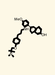 COc1ccc([C@@H]2CCc3cc(O)ccc3C2)c(NCCCc2ccc(OCC(C)(C)N(C)C)cc2)c1